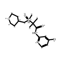 CCc1ccnc(NC(=O)C(C)(C)[SH](C)(=O)CC2CCOCC2)c1